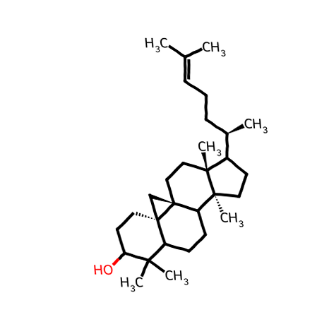 CC(C)=CCC[C@@H](C)C1CC[C@@]2(C)C3CCC4C(C)(C)C(O)CC[C@@]45C[C@@]35CC[C@]12C